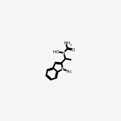 CC(=O)n1c(C(C)N(O)C(N)=O)cc2ccccc21